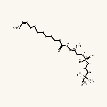 CCCCCC/C=C\CCCCCCCCC(=O)OC[C@H](O)COP(=O)(O)OCC[N+](C)(C)C